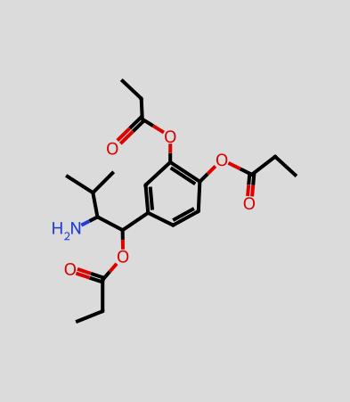 CCC(=O)Oc1ccc(C(OC(=O)CC)C(N)C(C)C)cc1OC(=O)CC